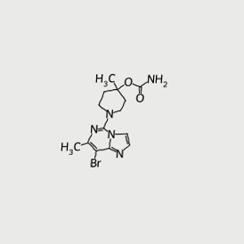 Cc1nc(N2CCC(C)(OC(N)=O)CC2)n2ccnc2c1Br